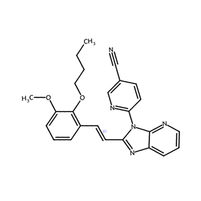 CCCCOc1c(/C=C/c2nc3cccnc3n2-c2ccc(C#N)cn2)cccc1OC